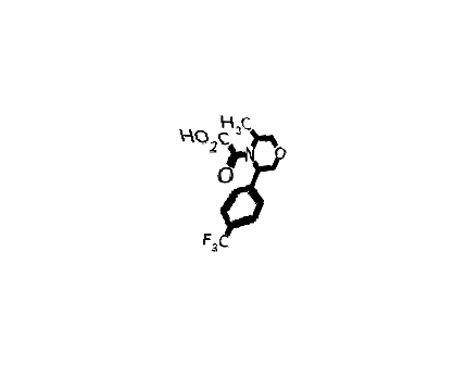 CC1COCC(c2ccc(C(F)(F)F)cc2)N1C(=O)C(=O)O